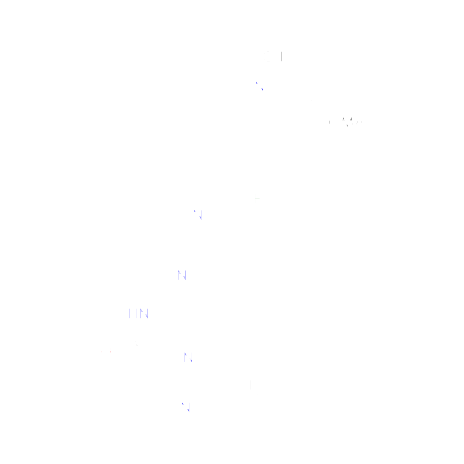 COCCN(C)Cc1cc(F)c(N2CCN(c3cn4c(C)ncc4c(=O)[nH]3)CC2)c(F)c1